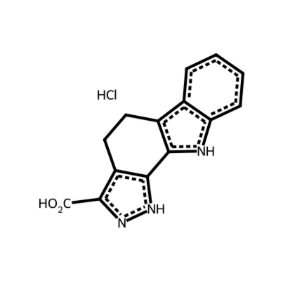 Cl.O=C(O)c1n[nH]c2c1CCc1c-2[nH]c2ccccc12